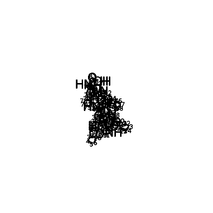 COc1ccccc1COC1CN[C@H](C(=O)OC2C(OCc3ccccc3C)CN[C@@H]2C(=O)OC2C(OCc3ccccc3Br)CN[C@@H]2C(=O)OC2C(OCc3ccccc3F)CN[C@@H]2C(=O)OC2C(OCc3ccccc3Cl)CN[C@@H]2C(=O)O)C1O